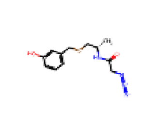 C[C@@H](CSCc1cccc(O)c1)NC(=O)CN=[N+]=[N-]